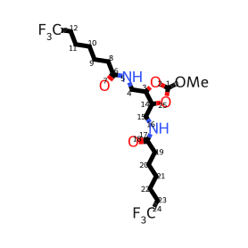 COC1OC(CNC(=O)CCCCCC(F)(F)F)C(CNC(=O)CCCCCC(F)(F)F)O1